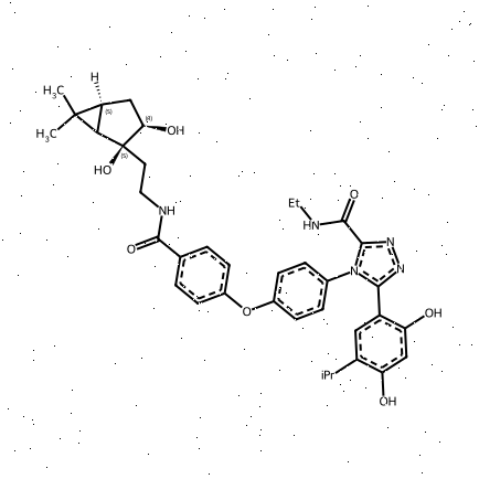 CCNC(=O)c1nnc(-c2cc(C(C)C)c(O)cc2O)n1-c1ccc(Oc2ccc(C(=O)NCC[C@]3(O)C4[C@H](C[C@H]3O)C4(C)C)cc2)cc1